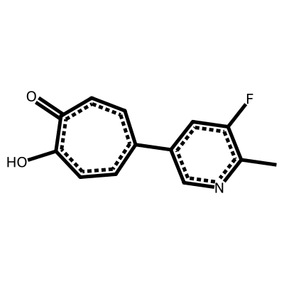 Cc1ncc(-c2ccc(O)c(=O)cc2)cc1F